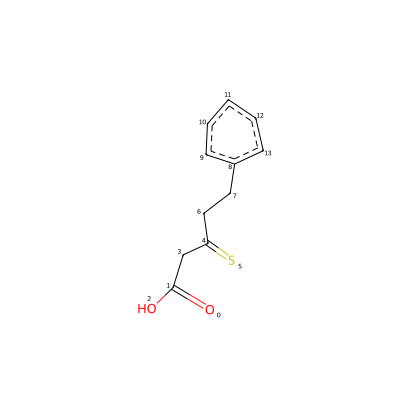 O=C(O)CC(=S)CCc1ccccc1